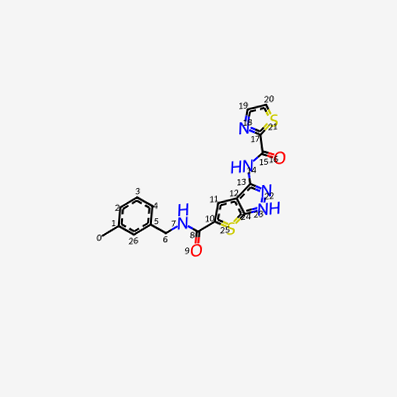 Cc1cccc(CNC(=O)c2cc3c(NC(=O)c4nccs4)n[nH]c3s2)c1